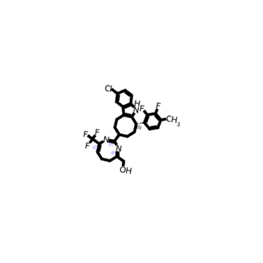 Cc1ccc([C@@H]2CCC(C3=N/C(C(F)(F)F)=C\CC/C(CO)=N\3)CCc3c2[nH]c2ccc(Cl)cc32)c(F)c1F